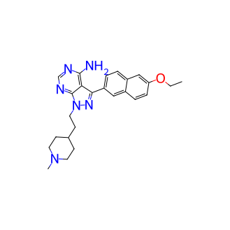 CCOc1ccc2cc(-c3nn(CCC4CCN(C)CC4)c4ncnc(N)c34)ccc2c1